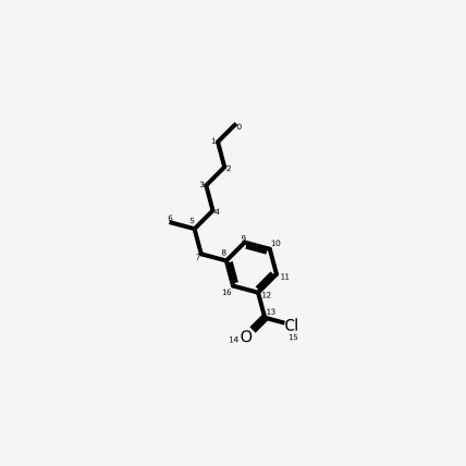 CCCCCC(C)Cc1cccc(C(=O)Cl)c1